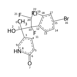 CC(O)(c1ccc(=O)[nH]c1)C(F)(c1ccc(Br)cc1Cl)C(F)F